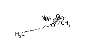 CCCCCCCCCCCCOC(=O)CC(C)P(=O)([O-])[O-].[Na+].[Na+]